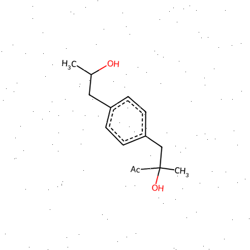 CC(=O)C(C)(O)Cc1ccc(CC(C)O)cc1